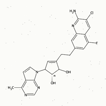 Cc1ncnc2c1ccn2C1C=C(CCc2cc(F)c3cc(Cl)c(N)nc3c2)C(O)[C@@H]1O